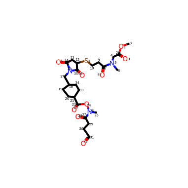 COC(=O)CN(C)C(=O)CCSC1CC(=O)N(CC2CCC(C(=O)ON(C)C(=O)CCC=O)CC2)C1=O